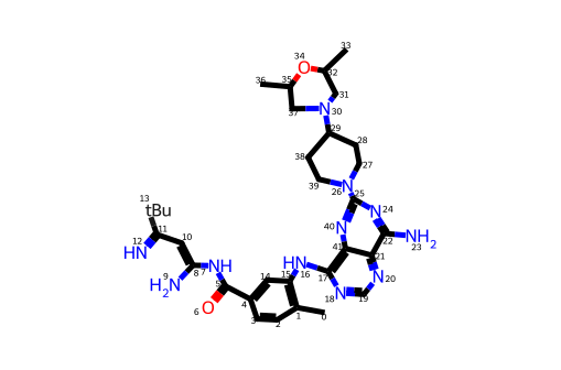 Cc1ccc(C(=O)N/C(N)=C/C(=N)C(C)(C)C)cc1Nc1ncnc2c(N)nc(N3CCC(N4CC(C)OC(C)C4)CC3)nc12